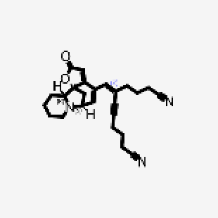 N#CCCCC#C/C(=C\C1=C[C@@H]2C[C@@]3(OC(=O)C=C13)[C@H]1CCCCN21)CCCC#N